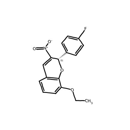 CCOc1cccc2c1O[C@@H](c1ccc(F)cc1)C([N+](=O)[O-])=C2